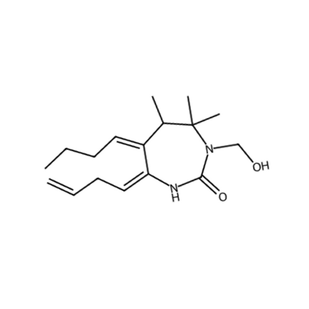 C=CC/C=C1/NC(=O)N(CO)C(C)(C)C(C)/C1=C/CCC